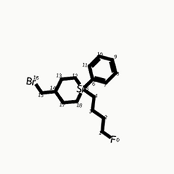 FCCCC[Si]1(c2ccccc2)CCC(CBr)CC1